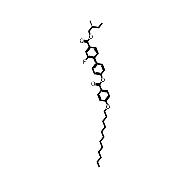 CCCCCCCCCCCCOc1ccc(C(=O)Oc2ccc(-c3ccc(C(=O)OC[C@@H](C)CC)cc3F)cc2)cc1